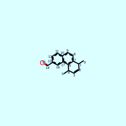 CC1C=CC(C)c2c1ccc1ccc(C=O)cc21